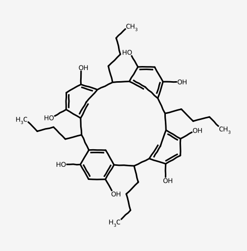 CCCCC1c2cc(c(O)cc2O)C(CCCC)c2cc(c(O)cc2O)C(CCCC)c2cc(c(O)cc2O)C(CCCC)c2cc1c(O)cc2O